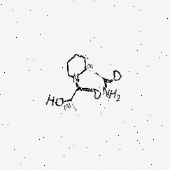 C[C@H](O)C(=O)N1CCC[CH][C@@H]1C(N)=O